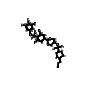 CCCC1CCC(C(F)(F)OC2COC(c3cc(F)c(C(F)(F)Oc4cc(F)c(F)c(F)c4)c(F)c3)OC2)CC1